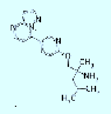 CC(C)CC(C)(N)COc1ccc(-c2ccnc3ccnn23)cn1